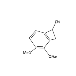 COc1ccc2c(c1OC)CC2C#N